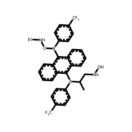 CCNOB(c1ccc(C(F)(F)F)cc1)c1c2ccccc2c(B(c2ccc(C(F)(F)F)cc2)C(C)CNO)c2ccccc12